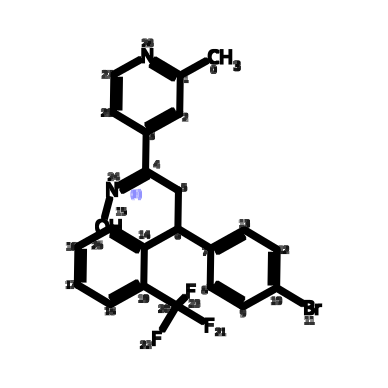 Cc1cc(/C(CC(c2ccc(Br)cc2)c2ccccc2C(F)(F)F)=N/O)ccn1